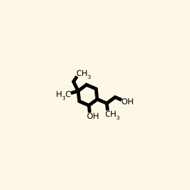 CCC1(C)CCC(C(C)CO)C(O)C1